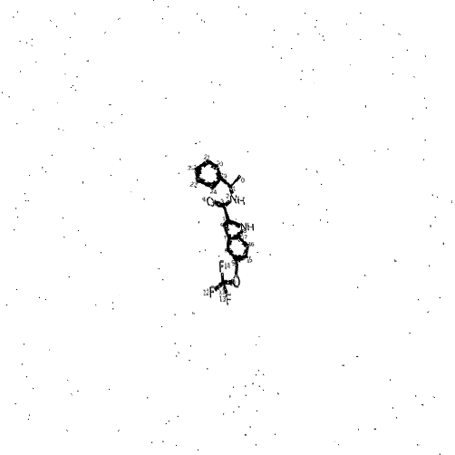 C[C@@H](NC(=O)c1cc2cc(OC(F)(F)F)ccc2[nH]1)c1ccccc1